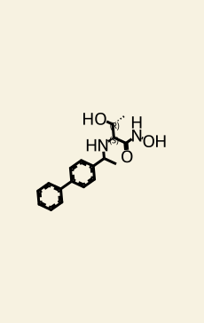 CC(N[C@H](C(=O)NO)[C@@H](C)O)c1ccc(-c2ccccc2)cc1